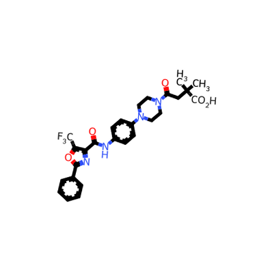 CC(C)(CC(=O)N1CCN(c2ccc(NC(=O)c3nc(-c4ccccc4)oc3C(F)(F)F)cc2)CC1)C(=O)O